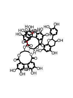 O=C(O[C@@H]1COC(=O)c2cc(O)c(O)c(O)c2-c2c(cc(O)c(O)c2O)C(=O)O[C@H]1C1OC(=O)c2cc(O)c(O)c(O)c2-c2c(O)c(O)c(O)c3c2C(=O)O[C@H]1[C@@H]3c1c(O)cc(O)c2c1OC(c1ccc(O)c(O)c1)C(O)C2)c1cc(O)c(O)c(O)c1